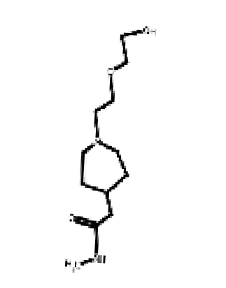 CNC(=O)CC1CCN(CCOCCO)CC1